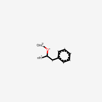 [CH2]CCC(Cc1ccccc1)OC=O